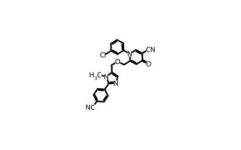 Cn1c(COCc2cc(=O)c(C#N)cn2-c2cccc(Cl)c2)cnc1-c1ccc(C#N)cc1